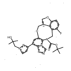 CC(C)(O)Cn1ccc(-c2cc3c(n4cnnc24)N(C(=O)OC(C)(C)C)Cc2c(F)ccc4c2[C@H](CO4)CO3)n1